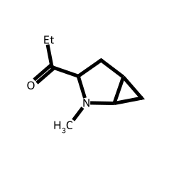 CCC(=O)C1CC2CC2N1C